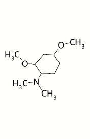 COC1CCC(N(C)C)C(OC)C1